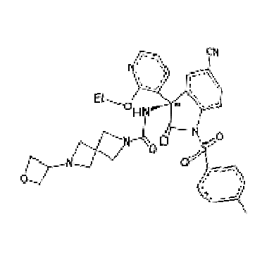 CCOc1ncccc1[C@@]1(NC(=O)N2CC3(C2)CN(C2COC2)C3)C(=O)N(S(=O)(=O)c2ccc(C)cc2)c2ccc(C#N)cc21